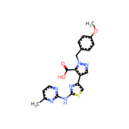 COc1ccc(Cn2ncc(-c3csc(Nc4nccc(C)n4)n3)c2C(=O)O)cc1